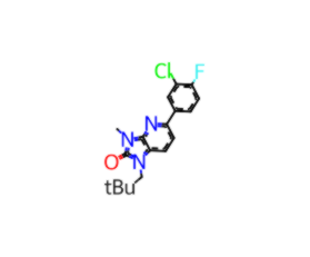 Cn1c(=O)n(CC(C)(C)C)c2ccc(-c3ccc(F)c(Cl)c3)nc21